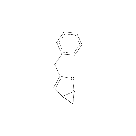 C1=C(Cc2ccccc2)ON2CC12